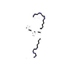 CCCCC/C=C\C/C=C\C/C=C\CCCCC(=O)O[C@H](COC(=O)CCC/C=C\C/C=C\C/C=C\CCCCCCCC)COP(=O)([O-])OCC[N+](C)(C)C